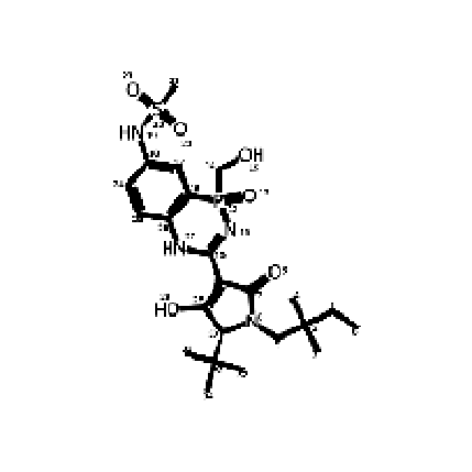 CCC(C)(C)CN1C(=O)C(C2=NP(=O)(CO)c3cc(NS(C)(=O)=O)ccc3N2)=C(O)[C@@H]1C(C)(C)C